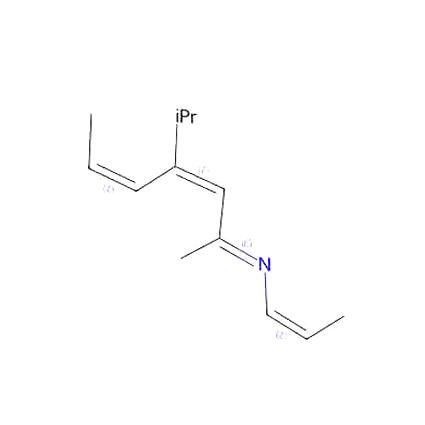 C\C=C/N=C(C)/C=C(\C=C/C)C(C)C